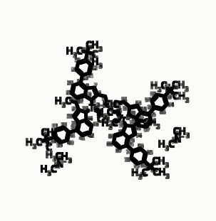 C[CH]=[Ti-2]([CH]1C(CC)=Cc2c(-c3ccc(C(C)(C)C)cc3)cccc21)[CH]1C(CC)=Cc2c(-c3ccc(C(C)(C)C)cc3)cccc21.C[CH]=[Zr-5]([CH3])([CH]1C(CC)=Cc2c(-c3ccc(C(C)(C)C)cc3)cccc21)[CH]1C(CC)=Cc2c(-c3ccc(C(C)(C)C)cc3)cccc21.C[N-]C.C[N-]C